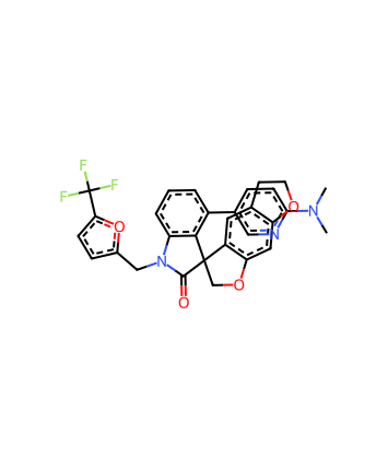 CN(C)c1ccc(-c2cccc3c2C2(COc4cc5c(cc42)CCO5)C(=O)N3Cc2ccc(C(F)(F)F)o2)cn1